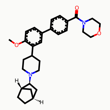 COc1ccc(-c2ccc(C(=O)N3CCOCC3)cc2)cc1C1CCN([C@H]2C[C@H]3CC[C@H]2C3)CC1